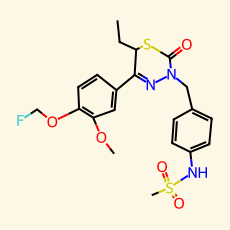 CCC1SC(=O)N(Cc2ccc(NS(C)(=O)=O)cc2)N=C1c1ccc(OCF)c(OC)c1